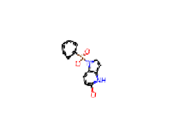 O=c1ccc2c(ccn2S(=O)(=O)c2ccccc2)[nH]1